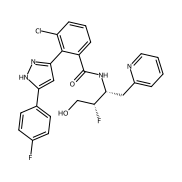 O=C(N[C@H](Cc1ccccn1)[C@H](F)CO)c1cccc(Cl)c1-c1cc(-c2ccc(F)cc2)[nH]n1